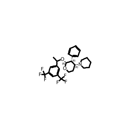 CC(O[C@H]1OCC[C@@H](N2CCCCC2)[C@H]1c1ccccc1)c1cc(C(F)(F)F)cc(C(F)(F)F)c1